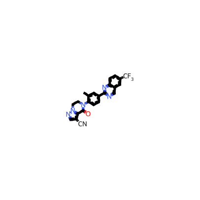 Cc1cc(-c2ncc3cc(C(F)(F)F)ccc3n2)ccc1N1CCn2ncc(C#N)c2C1=O